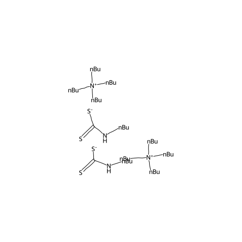 CCCCNC(=S)[S-].CCCCNC(=S)[S-].CCCC[N+](CCCC)(CCCC)CCCC.CCCC[N+](CCCC)(CCCC)CCCC